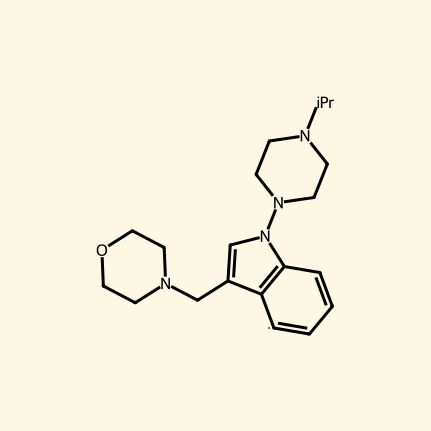 CC(C)N1CCN(n2cc(CN3CCOCC3)c3[c]cccc32)CC1